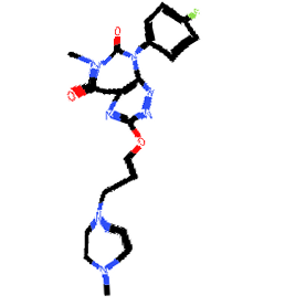 CN1CCN(CCCOc2nnc3c(n2)c(=O)n(C)c(=O)n3-c2ccc(F)cc2)CC1